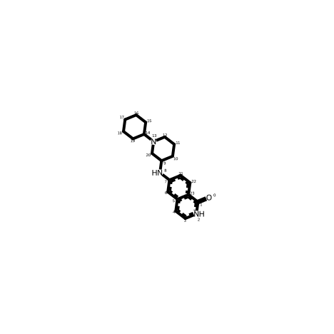 O=c1[nH]ccc2cc(NC3CCCN(C4CCCCC4)C3)ccc12